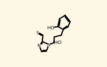 Cl.Oc1ccccc1CCCn1ccnc1C=S